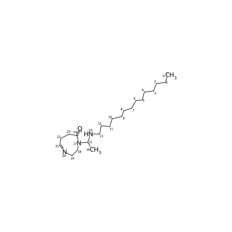 CCCCCCCCCCCCCCNC(C)N1CC/N=C\CCC1=O